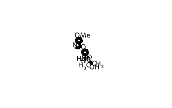 COc1ccc2c(Oc3ccc([S@](=N)(=O)NCC(C)(C)O)cc3)ccnc2c1